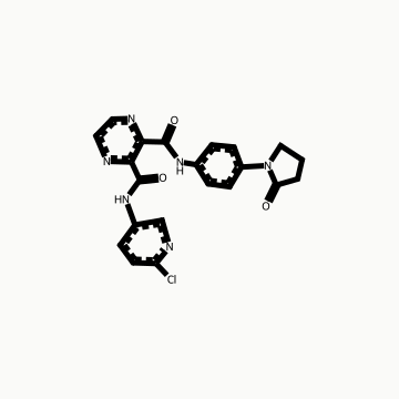 O=C(Nc1ccc(N2CCCC2=O)cc1)c1nccnc1C(=O)Nc1ccc(Cl)nc1